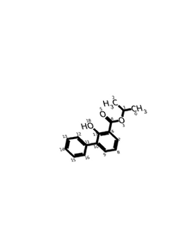 CC(C)OC(=O)c1cccc(-c2ccccc2)c1O